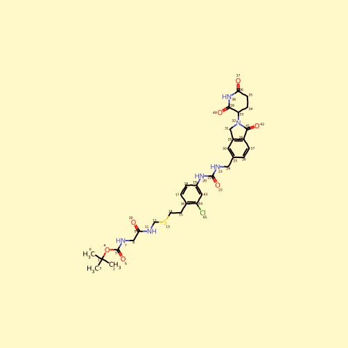 CC(C)(C)OC(=O)NCC(=O)NCSCCc1ccc(NC(=O)NCc2ccc3c(c2)CN(C2CCC(=O)NC2=O)C3=O)cc1Cl